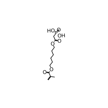 C=C(C)C(=O)OCCCCCCOC(=O)CP(=O)(O)O